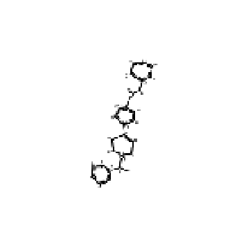 CC(c1ccccc1)N1CC=C(c2ccc(OCc3ccccc3)cc2)CC1